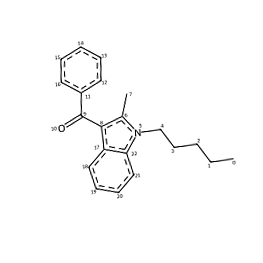 CCCCCn1c(C)c(C(=O)c2ccccc2)c2ccccc21